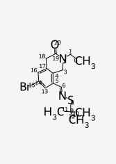 CCN1Cc2c(C=NSC(C)(C)C)cc(Br)cc2CC1=O